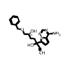 C#CC(O)(CC[C@H](O)COCc1ccccc1)c1ccc2c(N)ncnn12